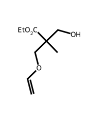 C=COCC(C)(CO)C(=O)OCC